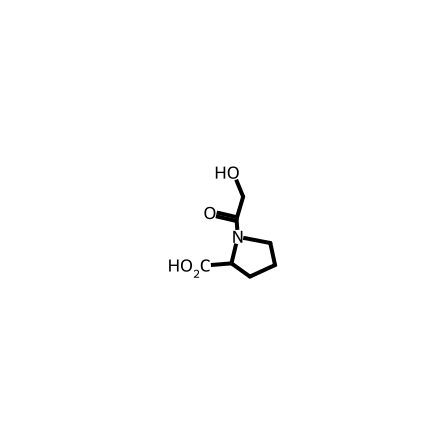 O=C(O)C1CCCN1C(=O)CO